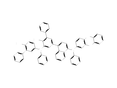 Sc1ccc(N(c2ccccc2)c2cc(-c3ccc(N(c4ccccc4)c4ccc5c(c4)Oc4ccccc4O5)c4ccccc34)cc(-c3ccccc3)c2S)cc1-c1ccccc1